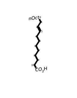 CCCCCCCCCC=CCCCCCCCC(=O)O